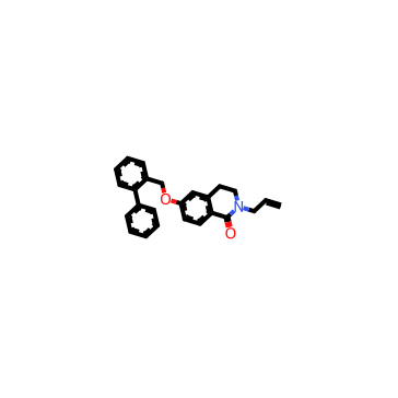 C=CCN1CCc2cc(OCc3ccccc3-c3ccccc3)ccc2C1=O